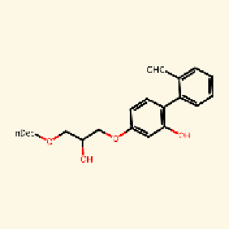 CCCCCCCCCCOCC(O)COc1ccc(-c2ccccc2C=O)c(O)c1